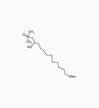 CCCCCCCCCCCCCCCCCCCCC(O)CP(C)(C)=O